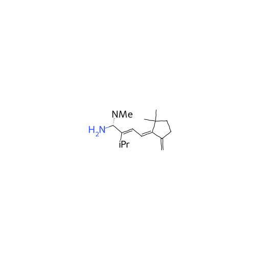 C=C1CCC(C)(C)/C1=C\C=C(/C(C)C)[C@H](N)NC